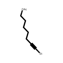 CCC#CCCCCCOC(C)=O